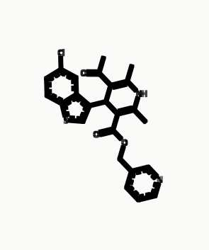 CC(=O)C1=C(C)NC(C)=C(C(=O)OCc2cccnc2)C1c1csc2ccc(Cl)cc12